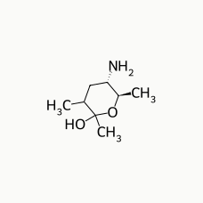 CC1C[C@H](N)[C@@H](C)OC1(C)O